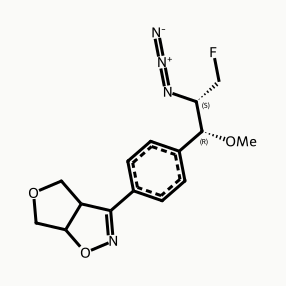 CO[C@H](c1ccc(C2=NOC3COCC23)cc1)[C@@H](CF)N=[N+]=[N-]